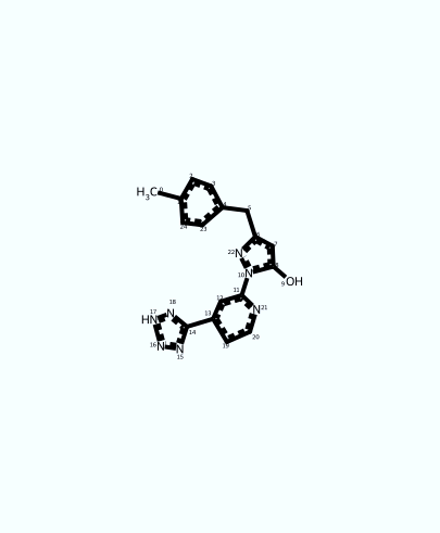 Cc1ccc(Cc2cc(O)n(-c3cc(-c4nn[nH]n4)ccn3)n2)cc1